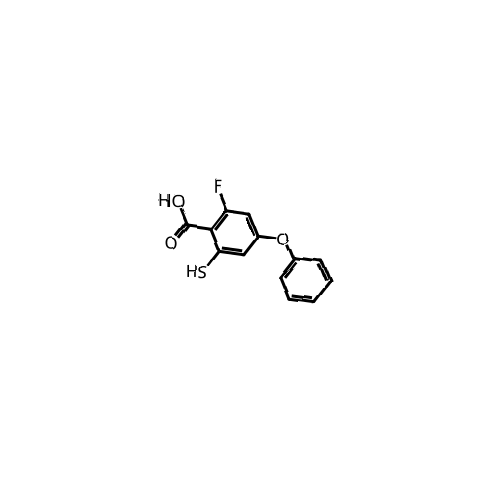 O=C(O)c1c(F)cc(Oc2ccccc2)cc1S